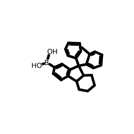 Cc1ccccc1C1(c2ccccc2)c2cc(B(O)O)ccc2C2CCCCC21